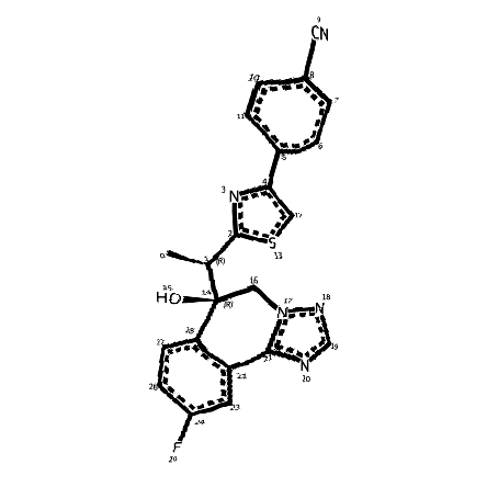 C[C@@H](c1nc(-c2ccc(C#N)cc2)cs1)[C@]1(O)Cn2ncnc2-c2cc(F)ccc21